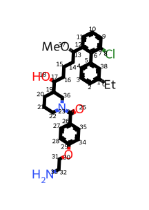 CCc1cccc(-c2c(Cl)cccc2C(CCCC(O)C2CCCN(C(=O)c3ccc(OCCN)cc3)C2)OC)c1